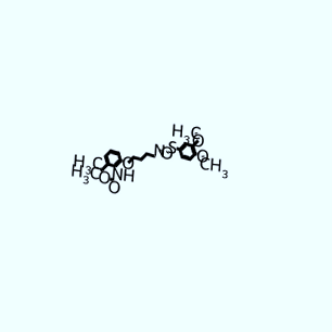 COc1ccc(SON=CCCCOc2cccc3c2NC(=O)OC3(C)C)cc1OC